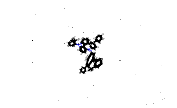 CC1(C)c2ccccc2-c2cc(N(c3ccc(-c4ccccc4)cc3)c3cccc4c3c3ccccc3n4-c3ccccc3)cc(-c3ccccc3)c21